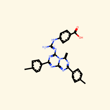 C=C1N=C(c2ccc(C)cc2)N=C2N=C(c3ccc(C)cc3)N=C(/N=C(\N)Nc3ccc(C(=O)O)cc3)N12